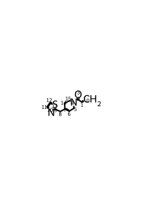 C=CC(=O)N1CC=C(Cc2nccs2)CC1